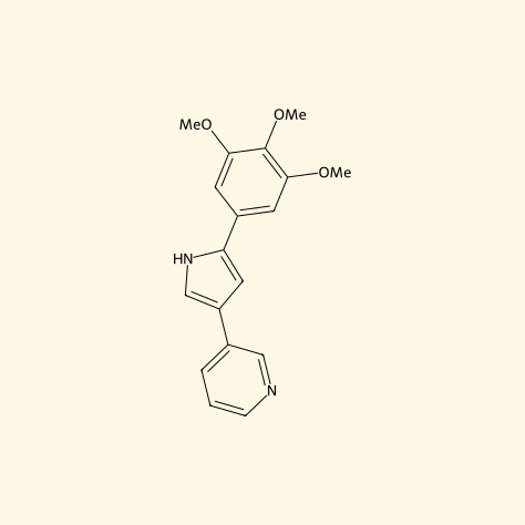 COc1cc(-c2cc(-c3cccnc3)c[nH]2)cc(OC)c1OC